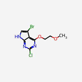 COCCOc1nc(Cl)nc2[nH]cc(Br)c12